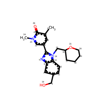 Cc1cc(-c2nc3cc(CO)ccc3n2CC2CCCCO2)cn(C)c1=O